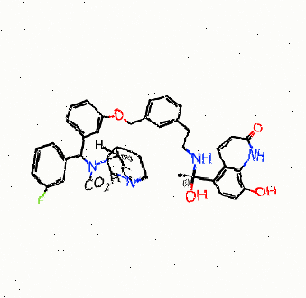 C[C@@](O)(NCCc1cccc(COc2cccc(C(c3cccc(F)c3)N(C(=O)O)[C@H]3CN4CCC3CC4)c2)c1)c1ccc(O)c2[nH]c(=O)ccc12